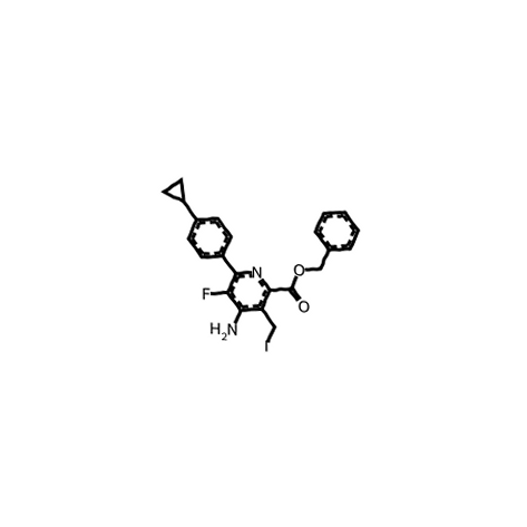 Nc1c(F)c(-c2ccc(C3CC3)cc2)nc(C(=O)OCc2ccccc2)c1CI